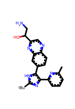 Cc1cccc(-c2nc(C(C)(C)C)[nH]c2-c2ccc3ncc(C(O)CN)nc3c2)n1